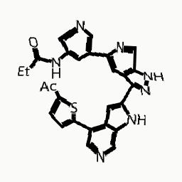 CCC(=O)Nc1cncc(-c2cc3c(-c4cc5c(-c6ccc(C(C)=O)s6)cncc5[nH]4)n[nH]c3cn2)c1